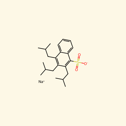 CC(C)Cc1c(CC(C)C)c(S(=O)(=O)[O-])c2ccccc2c1CC(C)C.[Na+]